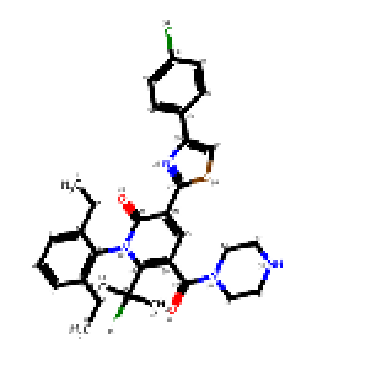 CCc1cccc(CC)c1-n1c(C(C)(C)F)c(C(=O)N2CCNCC2)cc(-c2nc(-c3ccc(Cl)cc3)cs2)c1=O